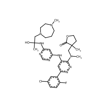 CN1CCCN(CC(C)(O)Nc2cc(Nc3cc(-c4cc(Cl)ccc4F)nnc3N(C)CC3(C)CCOC3=O)ncn2)CC1